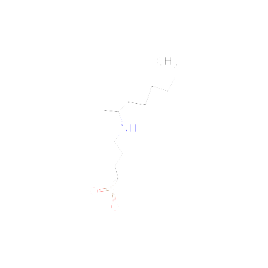 C.CCCCCC(C)NCCCC=S(=O)=O